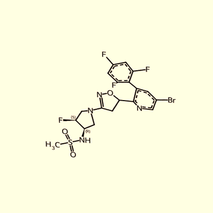 CS(=O)(=O)N[C@@H]1CN(C2=NOC(c3ncc(Br)cc3-c3c(F)cc(F)cc3F)C2)C[C@@H]1F